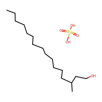 CCCCCCCCCCCCCC(C)CCO.O=S(=O)(O)O